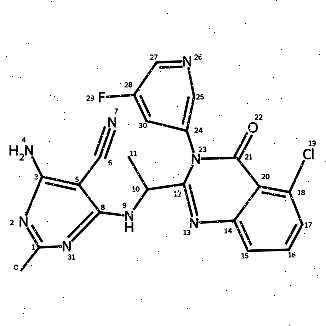 Cc1nc(N)c(C#N)c(NC(C)c2nc3cccc(Cl)c3c(=O)n2-c2cncc(F)c2)n1